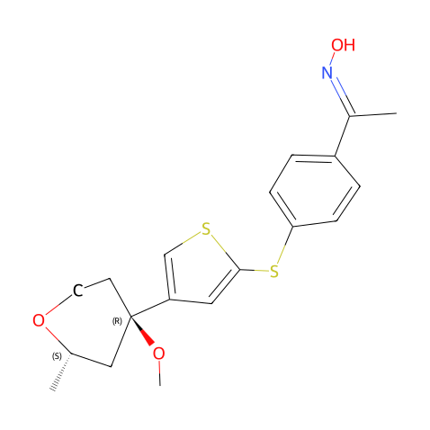 CO[C@]1(c2csc(Sc3ccc(C(C)=NO)cc3)c2)CCO[C@@H](C)C1